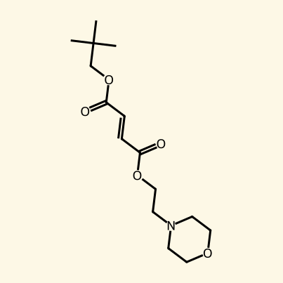 CC(C)(C)COC(=O)/C=C/C(=O)OCCN1CCOCC1